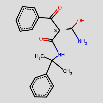 CC(C)(NC(=O)[C@H](C(=O)c1ccccc1)C(N)O)c1ccccc1